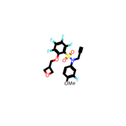 C#CCN(c1ccc(OC)c(F)c1)S(=O)(=O)c1c(F)c(F)c(F)c(F)c1OCC1COC1